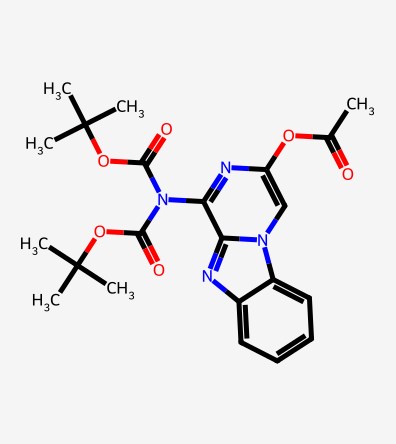 CC(=O)Oc1cn2c(nc3ccccc32)c(N(C(=O)OC(C)(C)C)C(=O)OC(C)(C)C)n1